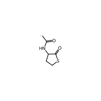 [CH2]C(=O)NC1CCSC1=O